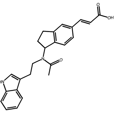 CC(=O)N(CCc1c[nH]c2ccccc12)C1CCc2cc(C=CC(=O)O)ccc21